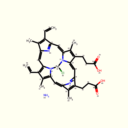 C=CC1=C(C)/C2=C/c3c(C=C)c(C)c4[n]3[Fe]([Cl])[n]3/c(c(C)c(CCC(=O)O)/c3=C/C3=NC(=C\4)/C(C)=C3CCC(=O)O)=C\C1=N2.N